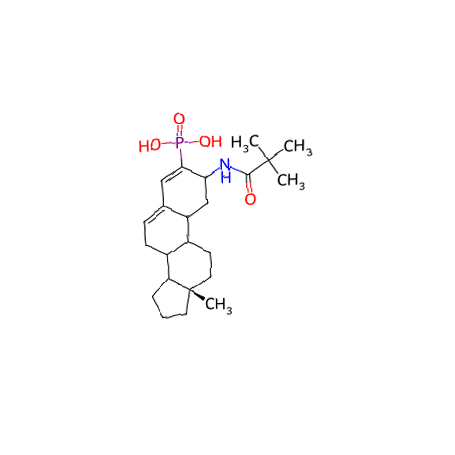 CC(C)(C)C(=O)NC1CC2C(=CCC3C2CC[C@]2(C)CCCC32)C=C1P(=O)(O)O